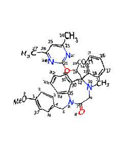 COc1ccc(CN2C(=O)CN(C)C(c3ccccc3)(C(Oc3nc(C)cc(C)n3)C(=O)O)c3ccccc32)cc1